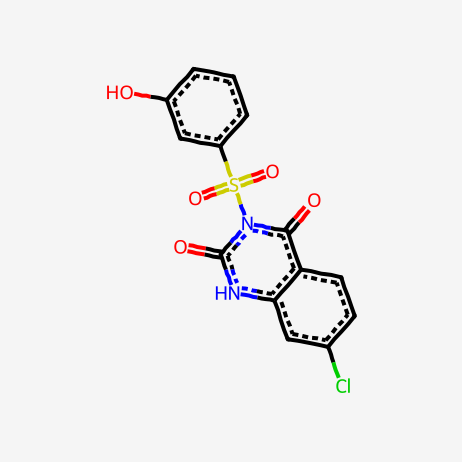 O=c1[nH]c2cc(Cl)ccc2c(=O)n1S(=O)(=O)c1cccc(O)c1